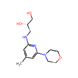 Cc1cc(NC[C@H](O)CO)nc(N2CCOCC2)c1